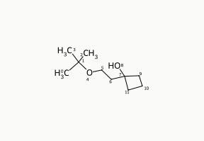 CC(C)(C)OCCC1(O)CCC1